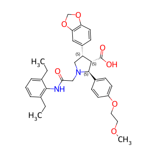 CCc1cccc(CC)c1NC(=O)CN1C[C@H](c2ccc3c(c2)OCO3)[C@H](C(=O)O)[C@H]1c1ccc(OCCOC)cc1